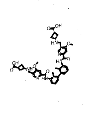 COc1cc(C(=O)Nc2cccc(-c3cccc(NC(=O)c4cc(OC)c(CN[C@H]5C[C@@H](C(=O)O)C5)cn4)c3C)c2C)ncc1CNC1CC(C(=O)O)C1